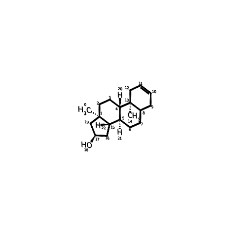 C[C@]12CC[C@H]3[C@@H](CCC4CC=CC[C@@]43C)[C@@H]1C[C@@H](O)C2